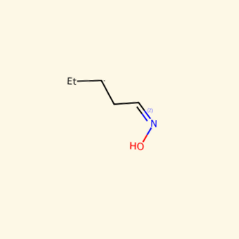 CC[CH]C/C=N\O